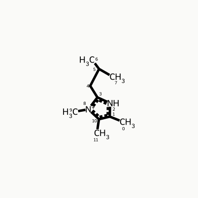 Cc1[nH]c(CC(C)C)[n+](C)c1C